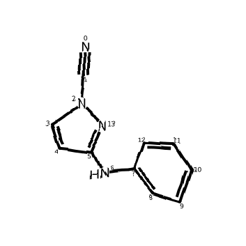 N#Cn1ccc(Nc2ccccc2)n1